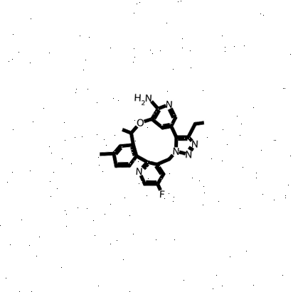 CCc1nnn2c1-c1cnc(N)c(c1)OC(C)c1cc(C)ccc1-c1ncc(F)cc1C2